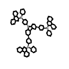 c1ccc(N(c2ccc(-c3ccc4c(c3)c3cc(-c5ccc(N(c6ccccc6)c6cc7ccccc7c7ccccc67)cc5)ccc3n4-c3ccc(N(c4ccccc4)c4cc5ccccc5c5ccccc45)cc3)cc2)c2cc3ccccc3c3ccccc23)cc1